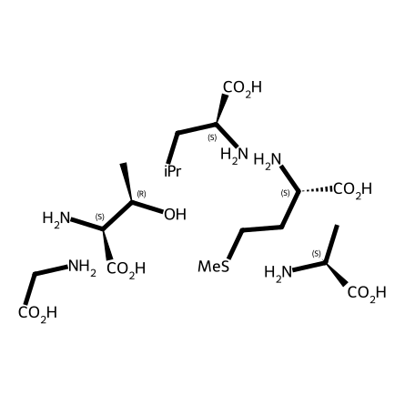 CC(C)C[C@H](N)C(=O)O.CSCC[C@H](N)C(=O)O.C[C@@H](O)[C@H](N)C(=O)O.C[C@H](N)C(=O)O.NCC(=O)O